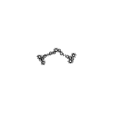 O=C(OC(COCCCCOCCOc1cccc(OCCOCCCCOCC(OC(=O)c2ccccc2)c2ccccc2)c1)c1ccccc1)c1ccccc1